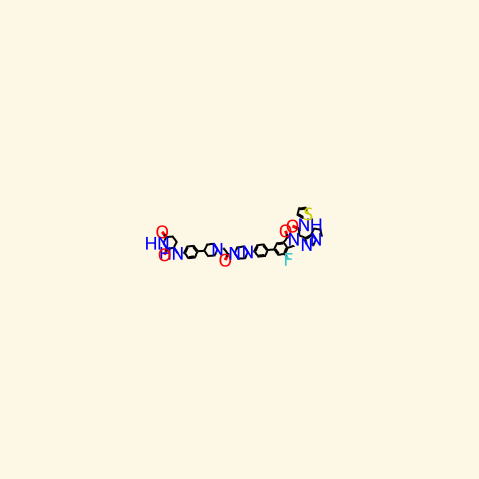 O=C1CCC(Nc2ccc(C3CCN(CC(=O)N4CCN(c5ccc(-c6cc(F)c7c(c6)C(=O)N(C(C(=O)Nc6cccs6)c6ncn8c6CCC8)C7)cc5)CC4)CC3)cc2)C(=O)N1